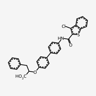 O=C(Nc1ccc(-c2ccc(OC(Cc3ccccc3)C(=O)O)cc2)cc1)c1sc2ccccc2c1Cl